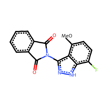 COc1ccc(F)c2[nH]nc(N3C(=O)c4ccccc4C3=O)c12